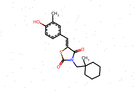 Cc1cc(/C=C2\SC(=O)N(CC3(C)CCCCC3)C2=O)ccc1O